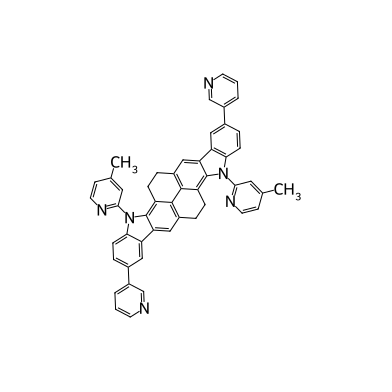 Cc1ccnc(-n2c3ccc(-c4cccnc4)cc3c3cc4c5c(c32)CCc2cc3c6cc(-c7cccnc7)ccc6n(-c6cc(C)ccn6)c3c(c2-5)CC4)c1